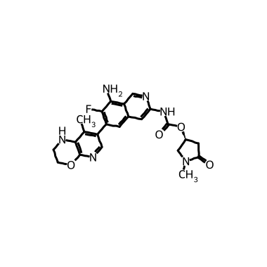 Cc1c(-c2cc3cc(NC(=O)O[C@H]4CC(=O)N(C)C4)ncc3c(N)c2F)cnc2c1NCCO2